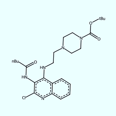 CCCCC(=O)Nc1c(Cl)nc2ccccc2c1NCCN1CCN(C(=O)OC(C)(C)C)CC1